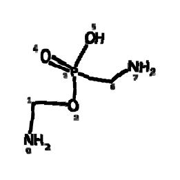 NCOP(=O)(O)CN